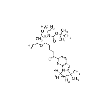 [2H]C([2H])([2H])n1c(C(C)(C)C)cc2ncc(C(=O)CCCC(OC(C)C)[C@@H]3COC(C)(C)N3C(=O)OC(C)(C)C)nc21